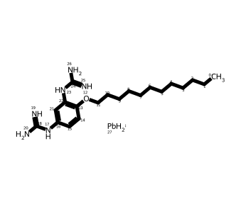 CCCCCCCCCCCCOc1ccc(NC(=N)N)cc1NC(=N)N.[PbH2]